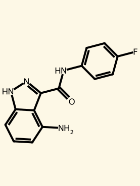 Nc1cccc2[nH]nc(C(=O)Nc3ccc(F)cc3)c12